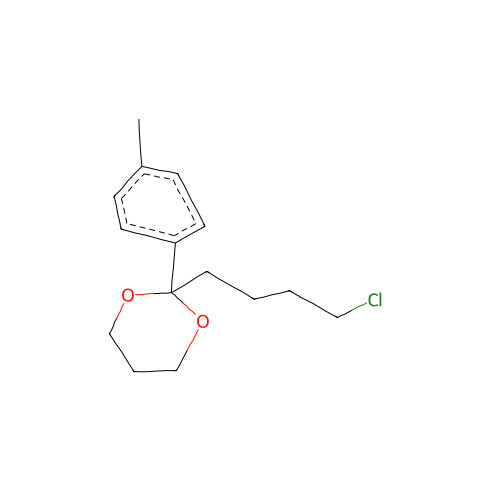 Cc1ccc(C2(CCCCCl)OCCCO2)cc1